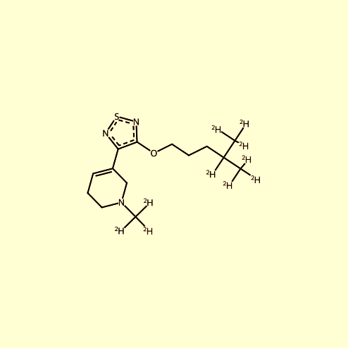 [2H]C([2H])([2H])N1CCC=C(c2nsnc2OCCCC([2H])(C([2H])([2H])[2H])C([2H])([2H])[2H])C1